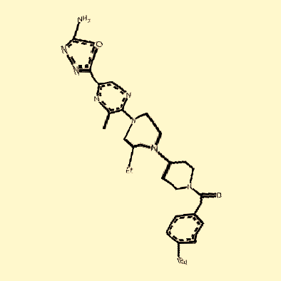 CCC1CN(c2ncc(-c3nnc(N)o3)nc2C)CCN1C1CCN(C(=O)c2ccc(C(C)(C)C)cc2)CC1